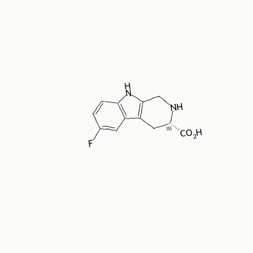 O=C(O)[C@@H]1Cc2c([nH]c3ccc(F)cc23)CN1